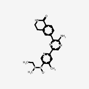 CCN(C)[S+]([O-])c1cnc(-c2cnc(N)c(-c3ccc4c(c3)CCNC4=O)n2)cc1C